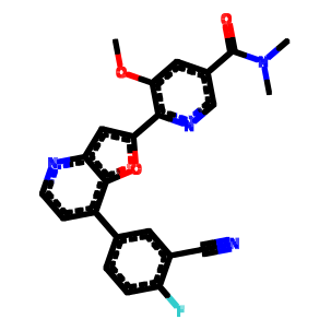 COc1cc(C(=O)N(C)C)cnc1-c1cc2nccc(-c3ccc(F)c(C#N)c3)c2o1